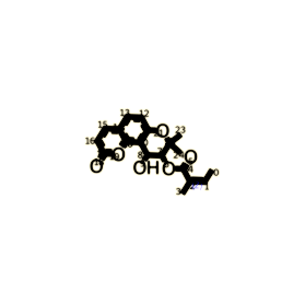 C/C=C(/C)C(=O)OC1C(O)c2c(ccc3ccc(=O)oc23)OC1(C)C